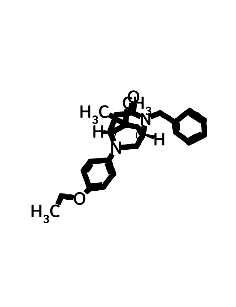 CCOc1ccc(N2C[C@@H]3CC(C)(C)[C@H]2CC(=O)N3Cc2ccccc2)cc1